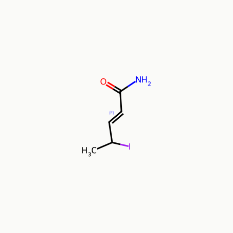 CC(I)/C=C/C(N)=O